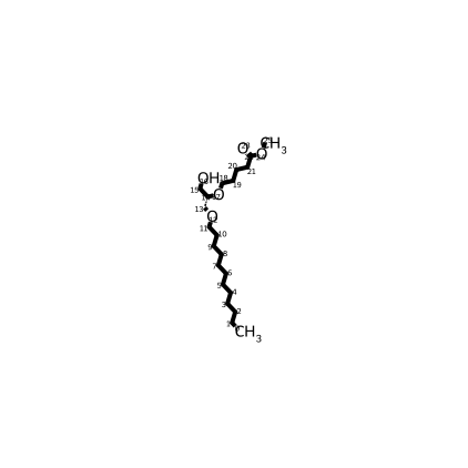 CCCCCCCCCCCCOC[C@H](CO)OCCCCC(=O)OC